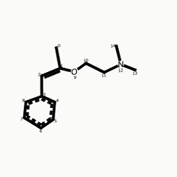 CC(=Cc1ccccc1)OCCN(C)C